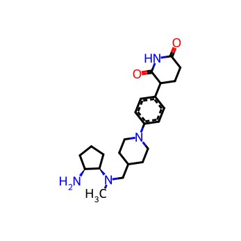 CN(CC1CCN(c2ccc(C3CCC(=O)NC3=O)cc2)CC1)[C@@H]1CCC[C@@H]1N